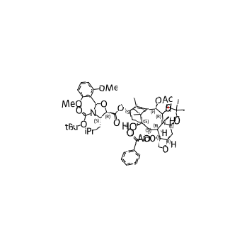 COc1cccc(OC)c1C1O[C@@H](C(=O)O[C@H]2C[C@@]3(O)[C@@H](OC(=O)c4ccccc4)[C@@H]4[C@]5(OC(C)=O)CO[C@@H]5C[C@@H]5OC(C)(C)O[C@@H]([C@H](OC(C)=O)C(=C2C)C3(C)C)[C@]54C)[C@H](CC(C)C)N1C(=O)OC(C)(C)C